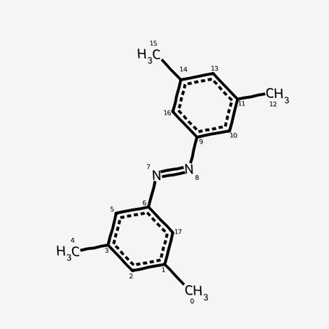 Cc1cc(C)cc(N=Nc2cc(C)cc(C)c2)c1